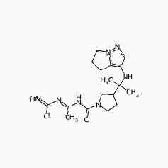 C/C(=N\C(=N)Cl)NC(=O)N1CCC(C(C)(C)Nc2cnn3c2CCC3)C1